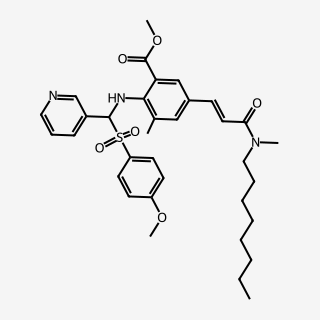 CCCCCCCCN(C)C(=O)/C=C/c1cc(C)c(NC(c2cccnc2)S(=O)(=O)c2ccc(OC)cc2)c(C(=O)OC)c1